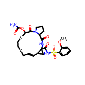 COc1ccccc1S(=O)(=O)NC(=O)C12CC1/C=C/CCCCCC(OC(N)=O)C(=O)N1CCCC1C(=O)N2